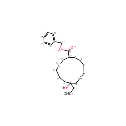 O=CCC1(O)CCCCCCC(C(=O)OCc2ccccc2)CCCCC1